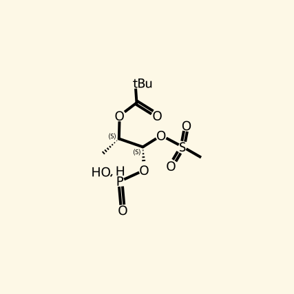 C[C@H](OC(=O)C(C)(C)C)[C@@H](O[PH](=O)O)OS(C)(=O)=O